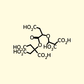 O=C(O)CC(OC(CC(=O)O)C(=O)OC(CC(=O)O)(CC(=O)O)C(=O)O)C(=O)O